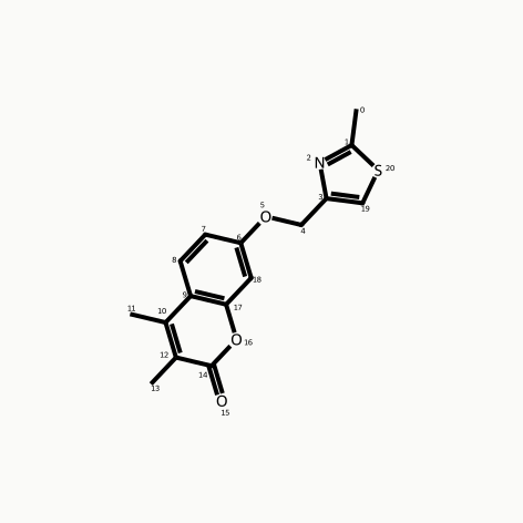 Cc1nc(COc2ccc3c(C)c(C)c(=O)oc3c2)cs1